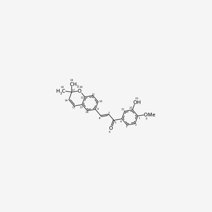 COc1ccc(C(=O)/C=C/c2ccc3c(c2)C=CC(C)(C)O3)cc1O